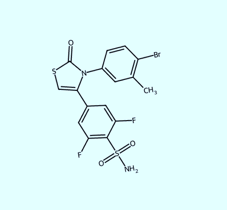 Cc1cc(-n2c(-c3cc(F)c(S(N)(=O)=O)c(F)c3)csc2=O)ccc1Br